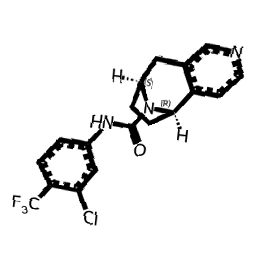 O=C(Nc1ccc(C(F)(F)F)c(Cl)c1)N1[C@H]2CC[C@@H]1c1ccncc1C2